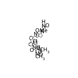 COc1nc(-c2cccc(-c3cccc(NC(=O)c4cn(C)c(=O)n(C)c4=O)c3Cl)c2Cl)cc2c1C(N1CC3(CNC(=O)C3)C1)CC2